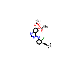 CC(C)(C)C(=O)Oc1cc2ncnc(Nc3cccc(C#C[Si](C)(C)C)c3F)c2cc1OC(=O)C(C)(C)C